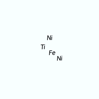 [Fe].[Ni].[Ni].[Ti]